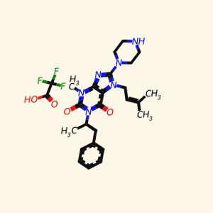 CC(C)=CCn1c(N2CCNCC2)nc2c1c(=O)n(C(C)Cc1ccccc1)c(=O)n2C.O=C(O)C(F)(F)F